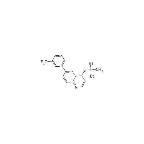 CCC(C)(CC)Sc1ccnc2ccc(-c3cccc(C(F)(F)F)c3)cc12